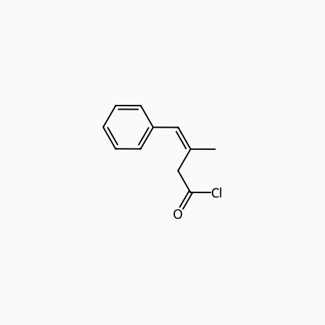 CC(=Cc1ccccc1)CC(=O)Cl